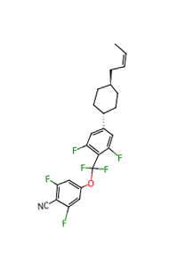 C/C=C\C[C@H]1CC[C@H](c2cc(F)c(C(F)(F)Oc3cc(F)c(C#N)c(F)c3)c(F)c2)CC1